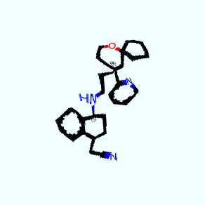 N#CCC1CC[C@H](NCC[C@@]2(c3ccccn3)CCOC3(CCCC3)C2)c2ccccc21